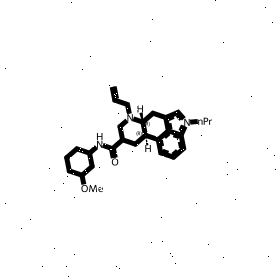 C=CCN1CC(C(=O)NC2CCCC(OC)C2)C[C@@H]2c3cccc4c3c(cn4CCC)C[C@H]21